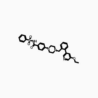 CCOc1cncc(-c2ccccc2CN2CCN(c3ccc(C(=O)NS(=O)(=O)c4ccccc4)cc3)CC2)c1